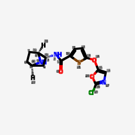 O=C(N[C@@H]1C[C@H]2CC[C@@H]1N2)c1ccc(Oc2cnc(Cl)o2)s1